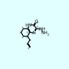 C=CCC1CCCc2[nH]c(=O)c(NN)nc21